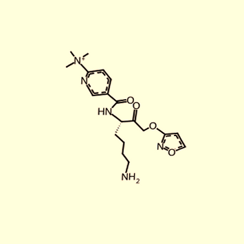 C[N+](C)(C)c1ccc(C(=O)N[C@@H](CCCCN)C(=O)COc2ccon2)cn1